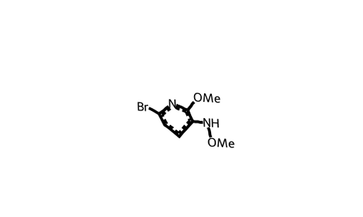 CONc1ccc(Br)nc1OC